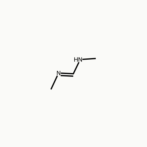 CN=CNC